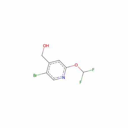 OCc1cc(OC(F)F)ncc1Br